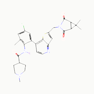 Cc1cc(Cl)cc(-c2ccnc3cc(CN4C(=O)C5C(C4=O)C5(C)C)sc23)c1N(I)C(=O)C1CCN(C)CC1